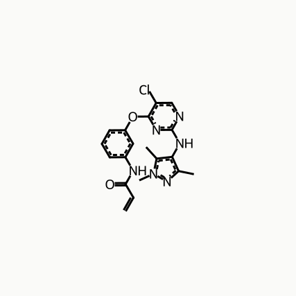 C=CC(=O)Nc1cccc(Oc2nc(Nc3c(C)nn(C)c3C)ncc2Cl)c1